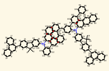 CC1(C)c2cc(-c3cc4ccccc4c4ccccc34)ccc2-c2ccc(N(c3ccc4c(c3)c3ccccc3c3c(-c5ccc(N(c6ccc7c(c6)C(C)(C)c6cc(-c8cc9ccccc9c9ccccc89)ccc6-7)c6ccc7cc8ccccc8cc7c6)c(-c6ccc(-c7ccccc7)cc6)c5)cccc43)c3ccccc3-c3cccc(-c4ccccc4)c3)cc21